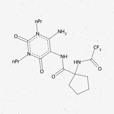 CCCn1c(N)c(NC(=O)C2(NC(=O)C(F)(F)F)CCCC2)c(=O)n(CCC)c1=O